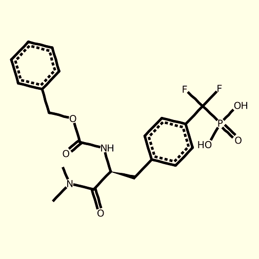 CN(C)C(=O)[C@H](Cc1ccc(C(F)(F)P(=O)(O)O)cc1)NC(=O)OCc1ccccc1